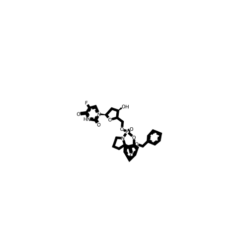 O=C(OCc1ccccc1)C1CCCN1P(=O)(OCC1O[C@@H](n2cc(F)c(=O)[nH]c2=O)C[C@H]1O)Oc1ccccc1